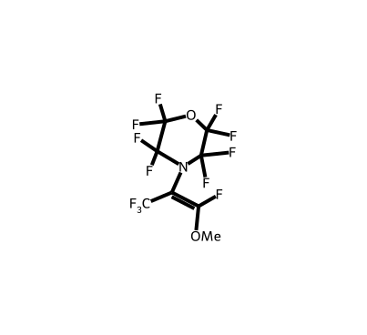 COC(F)=C(N1C(F)(F)C(F)(F)OC(F)(F)C1(F)F)C(F)(F)F